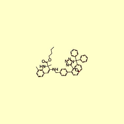 CCCCOC(=O)C1(C)Nc2c(C)cccc2C=C1NCc1ccc(-c2ccccc2-c2nnnn2C(c2ccccc2)(c2ccccc2)c2ccccc2)cc1